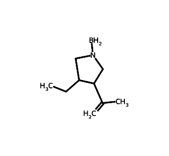 BN1CC(CC)C(C(=C)C)C1